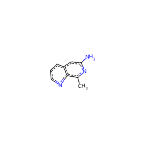 Cc1nc(N)cc2cccnc12